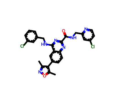 Cc1noc(C)c1-c1ccc2nc(C(=O)NCc3cc(Cl)ccn3)nc(NCc3cccc(Cl)c3)c2c1